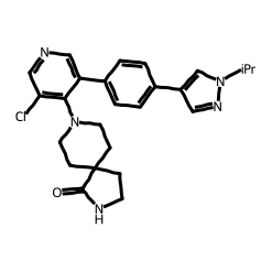 CC(C)n1cc(-c2ccc(-c3cncc(Cl)c3N3CCC4(CCNC4=O)CC3)cc2)cn1